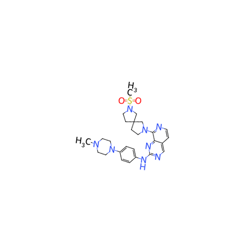 CN1CCN(c2ccc(Nc3ncc4ccnc(N5CCC6(CCN(S(C)(=O)=O)C6)C5)c4n3)cc2)CC1